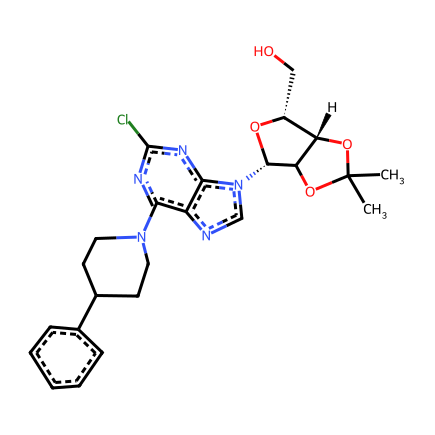 CC1(C)OC2[C@@H](O1)[C@@H](CO)O[C@H]2n1cnc2c(N3CCC(c4ccccc4)CC3)nc(Cl)nc21